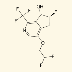 O[C@H]1c2c(C(F)(F)F)ncc(OCC(F)F)c2C[C@@H]1F